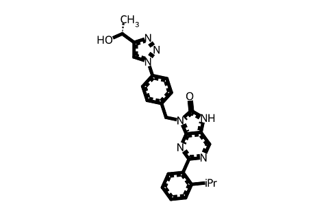 CC(C)c1ccccc1-c1ncc2[nH]c(=O)n(Cc3ccc(-n4cc([C@@H](C)O)nn4)cc3)c2n1